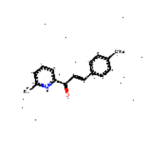 COc1ccc(C=CC(=O)c2cccc(C#N)n2)cc1